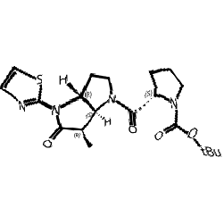 C[C@H]1C(=O)N(c2nccs2)[C@@H]2CCN(C(=O)[C@@H]3CCCN3C(=O)OC(C)(C)C)[C@H]21